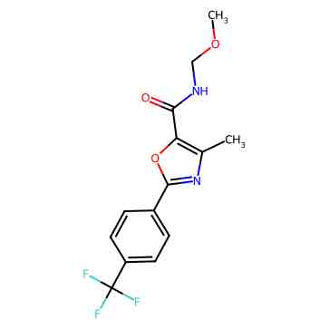 COCNC(=O)c1oc(-c2ccc(C(F)(F)F)cc2)nc1C